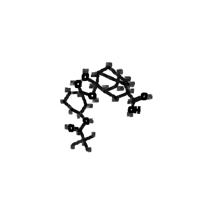 CC(C)(C)C(=O)OC1CCCC2(C1)OOC1(O2)C2CC3CC1CC(C(=O)O)(C3)C2